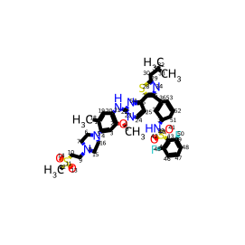 COc1cc(N2CCN(CCS(C)(=O)=O)CC2)c(C)cc1Nc1nccc(-c2sc(CC(C)C)nc2C2=CC(NS(=O)(=O)c3c(F)cccc3F)CC=C2)n1